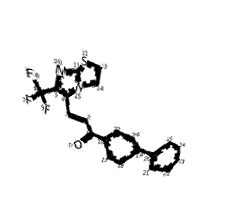 O=C(C=Cc1c(C(F)(F)F)nc2sccn12)c1ccc(-c2ccccc2)cc1